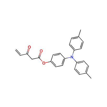 C=CC(=O)CC(=O)Oc1ccc(N(c2ccc(C)cc2)c2ccc(C)cc2)cc1